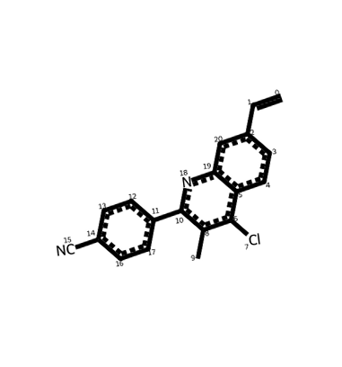 C=Cc1ccc2c(Cl)c(C)c(-c3ccc(C#N)cc3)nc2c1